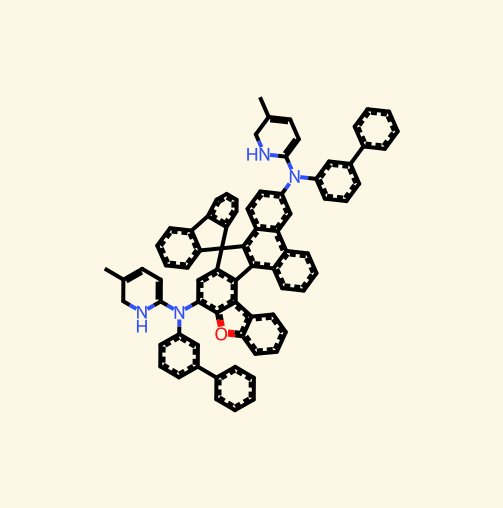 CC1=CC=C(N(c2cccc(-c3ccccc3)c2)c2ccc3c4c(c5ccccc5c3c2)-c2c(cc(N(C3=CC=C(C)CN3)c3cccc(-c5ccccc5)c3)c3oc5ccccc5c23)C42c3ccccc3-c3ccccc32)NC1